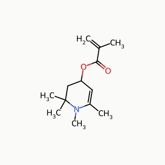 C=C(C)C(=O)OC1C=C(C)N(C)C(C)(C)C1